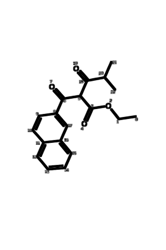 CCOC(=O)C(C(=O)c1ccc2ccccc2c1)C(=O)C(C)C